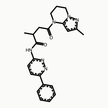 Cc1cc2n(n1)CCCN2C(=O)CC(C)C(=O)Nc1ccc(-c2ccccc2)nn1